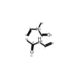 C=CN(C)C=O.C=CNC(C)=O